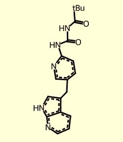 CC(C)(C)C(=O)NC(=O)Nc1ccc(Cc2c[nH]c3ncccc23)cn1